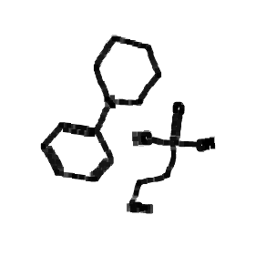 CCCCCCCCCCCCP(=O)(O)O.c1ccc(N2CCCCC2)cc1